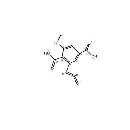 COc1cc(C(=O)O)cc(N=C=S)c1C(=O)O